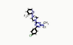 CCN(C)c1nc(-c2ccc(Cl)cc2)nc(N2CCN(c3ncccc3C(F)(F)F)CC2)n1